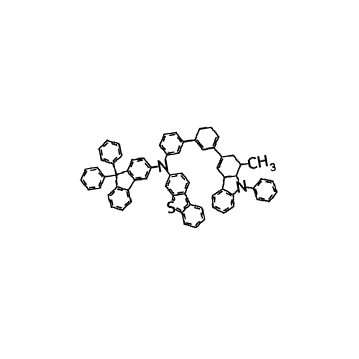 CC1CC(C2=CCCC(c3cccc(N(c4ccc5c(c4)-c4ccccc4C5(c4ccccc4)c4ccccc4)c4ccc5c(c4)sc4ccccc45)c3)=C2)=CC2c3ccccc3N(c3ccccc3)C12